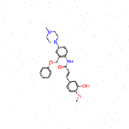 COc1ccc(C=CC(=O)Nc2ccc(N3CCN(C)CC3)cc2COc2ccccc2)cc1O